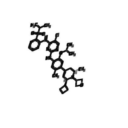 Cc1cc(Nc2ncc(Cl)c(Nc3ccccc3S(=O)(=O)C(C)C)n2)c(OC(C)C)cc1C1=C[C@H](C2CCC2)N(C2COC2)[C@@H](C)C1